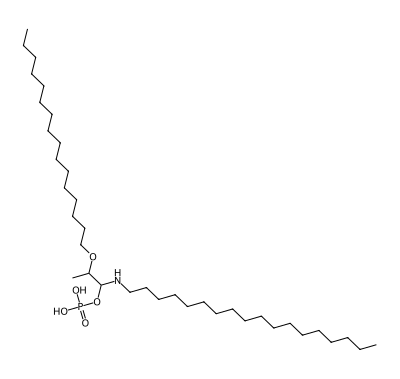 CCCCCCCCCCCCCCCCCCNC(OP(=O)(O)O)C(C)OCCCCCCCCCCCCCCCC